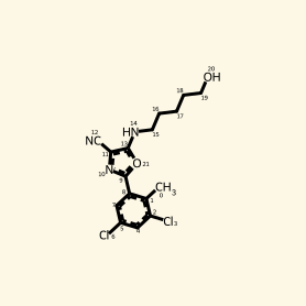 Cc1c(Cl)cc(Cl)cc1-c1nc(C#N)c(NCCCCCO)o1